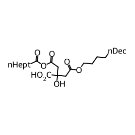 CCCCCCCCCCCCCCOC(=O)CC(O)(CC(=O)OC(=O)CCCCCCC)C(=O)O